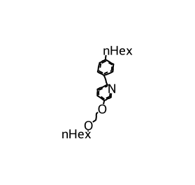 CCCCCCOCCOc1ccc(-c2ccc(CCCCCC)cc2)nc1